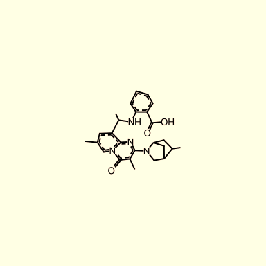 Cc1cc(C(C)Nc2ccccc2C(=O)O)c2nc(N3CC4CC3CC4C)c(C)c(=O)n2c1